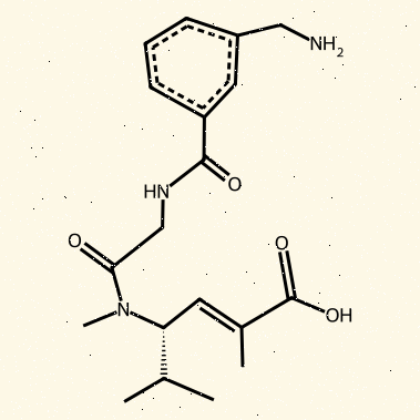 C/C(=C\[C@H](C(C)C)N(C)C(=O)CNC(=O)c1cccc(CN)c1)C(=O)O